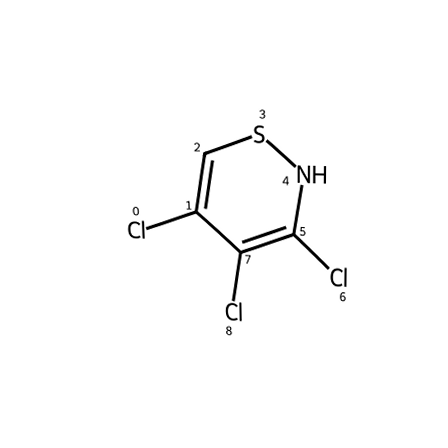 ClC1=CSNC(Cl)=C1Cl